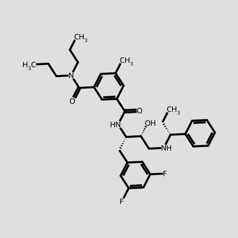 CCCN(CCC)C(=O)c1cc(C)cc(C(=O)N[C@@H](Cc2cc(F)cc(F)c2)[C@H](O)CN[C@H](CC)c2ccccc2)c1